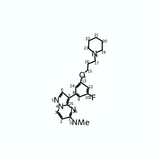 CNc1ccn2ncc(-c3cc(F)cc(OCCCN4CCCCC4)c3)c2n1